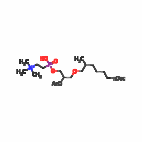 CCCCCCCCCCCCCCC(C)COCC(COP(=O)(O)CC[N+](C)(C)C)OC(C)=O